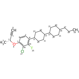 C#C[C@@H](C)Oc1ccc(C2CCC(C3CCC(CCC)CC3)CC2)c(F)c1Cl